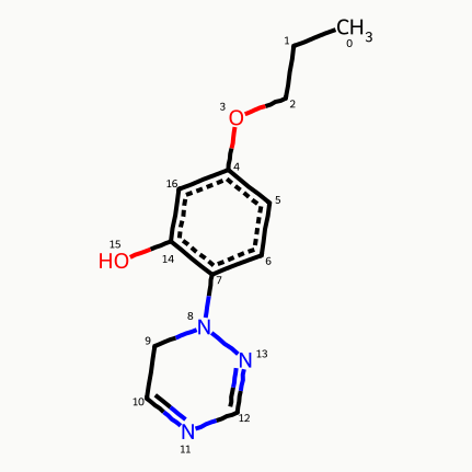 CCCOc1ccc(N2CC=NC=N2)c(O)c1